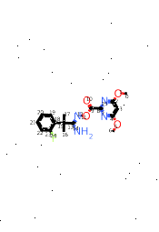 COc1cc(OC)nc(C(=O)ON=C(N)C(C)(C)c2ccccc2F)n1